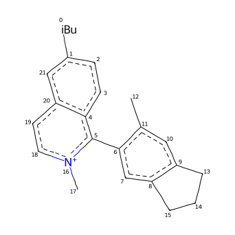 CCC(C)c1ccc2c(-c3cc4c(cc3C)CCC4)[n+](C)ccc2c1